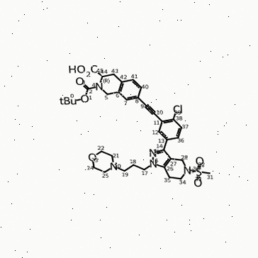 CC(C)(C)OC(=O)N1Cc2cc(C#Cc3cc(-c4nn(CCCN5CCOCC5)c5c4CN(S(C)(=O)=O)CC5)ccc3Cl)ccc2C[C@@H]1C(=O)O